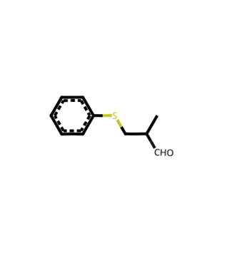 CC(C=O)CSc1ccccc1